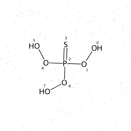 OOP(=S)(OO)OO